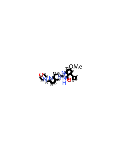 COc1cc(C2CCC2)c2c(=O)[nH]c(N3CCc4nc(CN5CCOCC5)ccc4C3)nc2c1